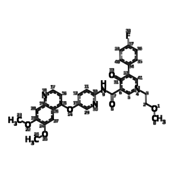 COCCn1cc(C(=O)Nc2ccc(Oc3ccnc4cc(OC)c(OC)cc34)cn2)c(=O)c(-c2ccc(F)cc2)c1